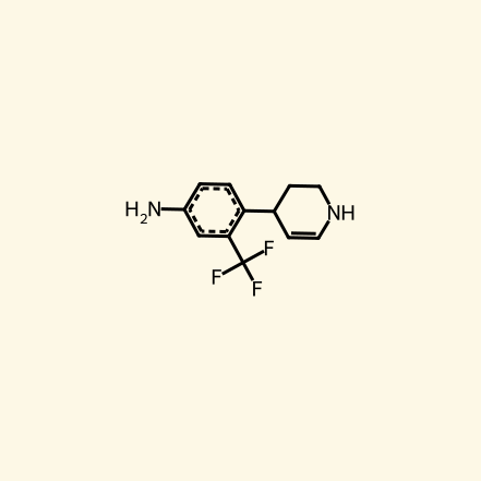 Nc1ccc(C2C=CNCC2)c(C(F)(F)F)c1